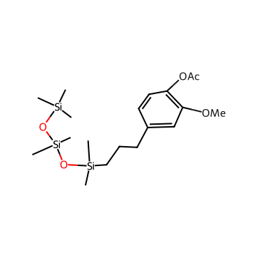 COc1cc(CCC[Si](C)(C)O[Si](C)(C)O[Si](C)(C)C)ccc1OC(C)=O